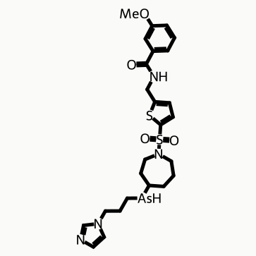 COc1cccc(C(=O)NCc2ccc(S(=O)(=O)N3CCCC([AsH]CCCn4ccnc4)CC3)s2)c1